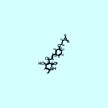 Cc1cc(O)c(C(=O)/C=C/c2cccc(OCCN(C)C)c2)c(=O)[nH]1